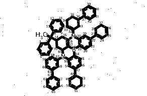 CC(c1ccccc1)(c1ccccc1)C1CC2=C3B(c4ccc(C5=CC=CCC5)cc4N2C2=CCCC(c4ccccc4)C2)c2ccc(C4=CC=CCC4)cc2N(c2cccc(-c4ccccc4)c2)C3C1